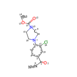 CNC(=O)c1ccc(N2CCN(C(=O)OC(C)(C)C)CC2)c(Cl)c1